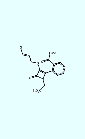 CCOC(=O)CN1C(=O)C(OC/C=C/Cl)=C1c1ccccc1C(=O)OC